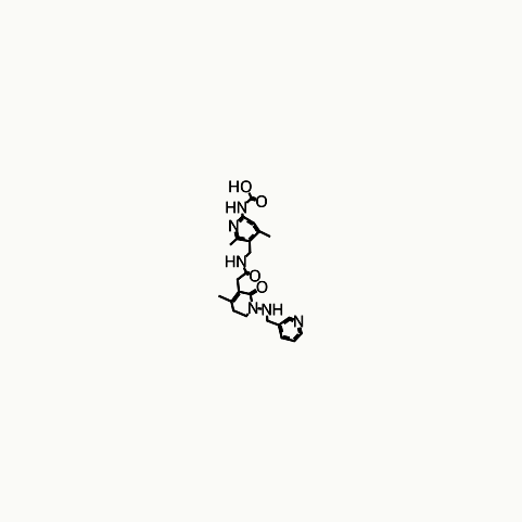 CC1=C(CC(=O)NCc2c(C)cc(NC(=O)O)nc2C)C(=O)N(NCc2cccnc2)CC1